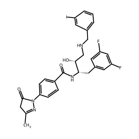 CC1=NN(c2ccc(C(=O)N[C@@H](Cc3cc(F)cc(F)c3)[C@H](O)CNCc3cccc(I)c3)cc2)C(=O)C1